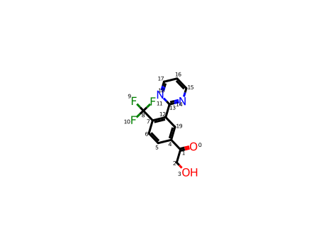 O=C(CO)c1ccc(C(F)(F)F)c(-c2ncccn2)c1